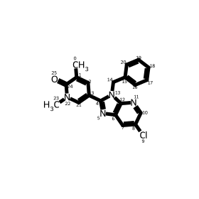 Cc1cc(-c2nc3cc(Cl)cnc3n2Cc2ccccc2)cn(C)c1=O